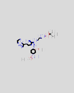 COc1cc(NS(C)(=O)=O)ccc1-n1nc(NCCCNC(=O)OC(C)(C)C)c2cnc(-c3cnn4cccnc34)cc21